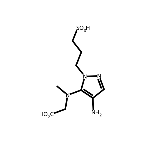 CN(CC(=O)O)c1c(N)cnn1CCCS(=O)(=O)O